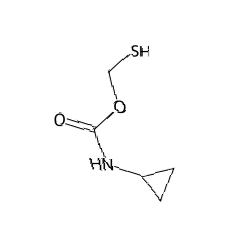 O=C(NC1CC1)OCS